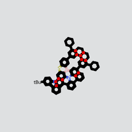 CC(C)(C)c1ccc2c(c1)c1ccccc1n2-c1cc2c3c(c1)N(c1c(-c4ccccc4)cccc1-c1ccccc1)c1ccc(-c4cc(C5CCCCC5)cc(C5CCCCC5)c4)cc1B3c1cc(-c3cc(C4CCCCC4)cc(C4CCCCC4)c3)ccc1S2